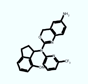 COc1cccc2c1C(N(C1=Nc3ccc(N)cc3CO1)c1cccc(C(F)(F)F)n1)CC2